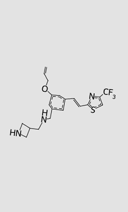 C=CCOc1cc(/C=C/c2nc(C(F)(F)F)cs2)cc(CNCC2CNC2)c1